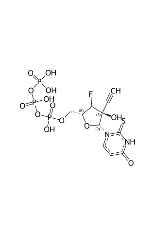 C#C[C@@]1(O)C(F)[C@@H](COP(=O)(O)OP(=O)(O)OP(=O)(O)O)O[C@H]1n1ccc(=O)[nH]c1=S